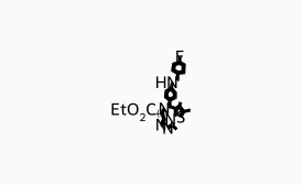 CCOC(=O)C[C@@H]1N=C(c2ccc(NCc3ccc(F)cc3)cc2)c2c(sc(C)c2C)-n2c(C)nnc21